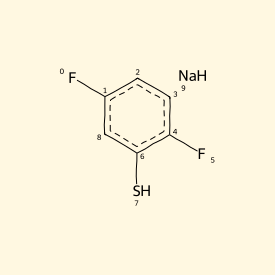 Fc1ccc(F)c(S)c1.[NaH]